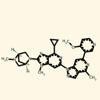 COc1ccncc1-c1cc2c(cnn2-c2cc3c(nc(N4C[C@H]5C[C@@H]4CN5C)n3C)c(C3CC3)n2)c(C)n1